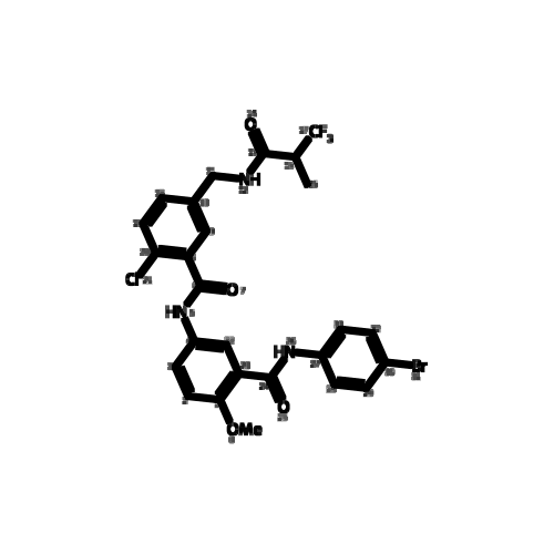 COc1ccc(NC(=O)c2cc(CNC(=O)C(C)C(F)(F)F)ccc2Cl)cc1C(=O)Nc1ccc(Br)cc1